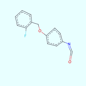 O=C=Nc1ccc(OCc2ccccc2F)cc1